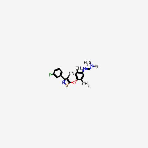 CCN(C)C=Nc1cc(C)c(Oc2snc(-c3cccc(F)c3)c2C#N)cc1C